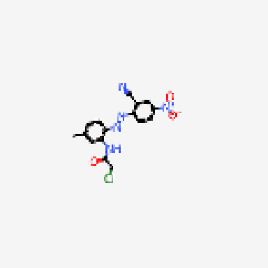 Cc1ccc(/N=N/c2ccc([N+](=O)[O-])cc2C#N)c(NC(=O)CCl)c1